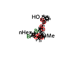 CCCCCCc1cc(COC(=O)C(C)(C)BCC(C)(CCC(C)(Br)C(=O)OCCOC(=O)c2ccccc2S(=O)(=O)O)C(=O)OC)sc1Br